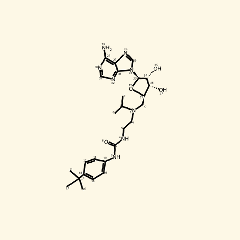 CC(C)N(CCNC(=O)Nc1ccc(C(C)(C)C)cc1)C[C@H]1O[C@@H](n2cnc3c(N)ncnc32)[C@H](O)[C@@H]1O